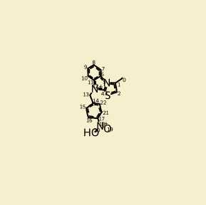 Cc1csc2n1c1ccccc1[n+]2Cc1ccc([N+](=O)O)cc1